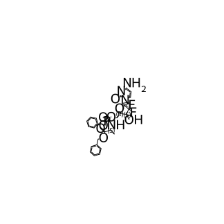 C[C@H](NP(=O)(OC[C@H]1O[C@@H](n2ccc(N)nc2=O)C(F)(F)[C@H]1O)Oc1ccccc1)C(=O)OCc1ccccc1